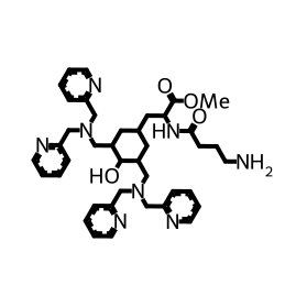 COC(=O)C(CC1CC(CN(Cc2ccccn2)Cc2ccccn2)C(O)C(CN(Cc2ccccn2)Cc2ccccn2)C1)NC(=O)CCCN